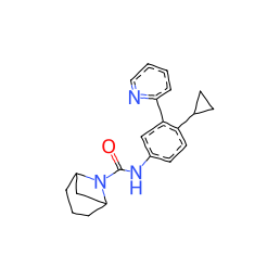 O=C(Nc1ccc(C2CC2)c(-c2ccccn2)c1)N1C2CCCC1C2